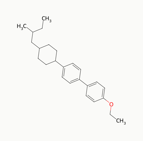 CCOc1ccc(-c2ccc(C3CCC(CC(C)CC)CC3)cc2)cc1